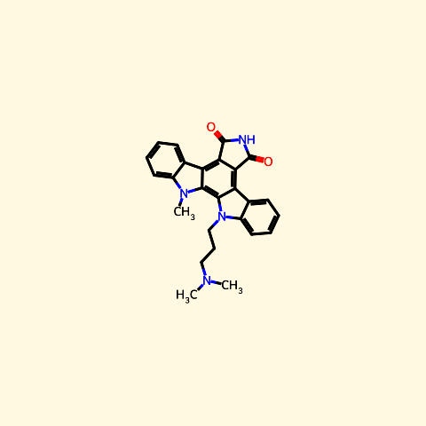 CN(C)CCCn1c2ccccc2c2c3c(c4c5ccccc5n(C)c4c21)C(=O)NC3=O